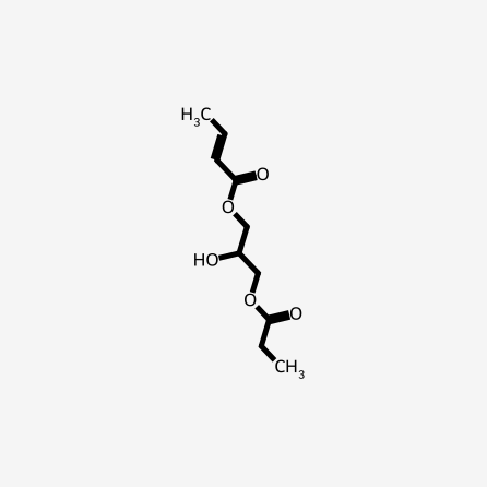 CC=CC(=O)OCC(O)COC(=O)CC